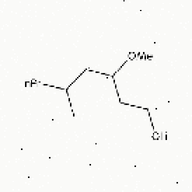 CCCC(C)CC(CCO)OC